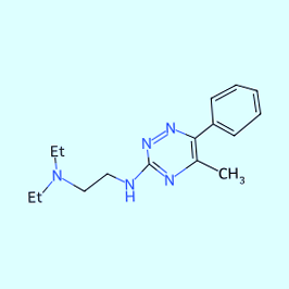 CCN(CC)CCNc1nnc(-c2ccccc2)c(C)n1